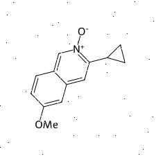 COc1ccc2c[n+]([O-])c(C3CC3)cc2c1